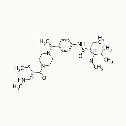 C=N/C(=C(/CC)[S+]([O-])Nc1ccc(C(=C)N2CCN(C(=O)/C(=C/NC)SC)CC2)cc1)C(C)C